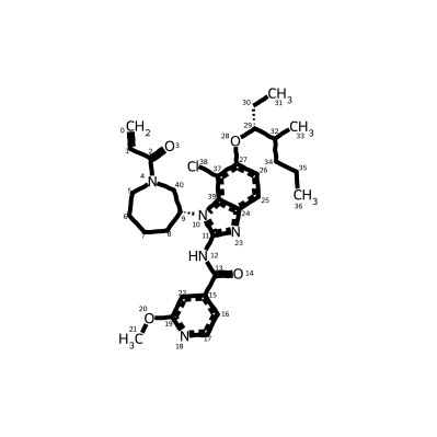 C=CC(=O)N1CCCC[C@@H](n2c(NC(=O)c3ccnc(OC)c3)nc3ccc(O[C@H](CC)C(C)CCC)c(Cl)c32)C1